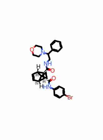 O=C(NCC(c1ccccc1)N1CCOCC1)[C@H]1[C@H](C(=O)Nc2ccc(Br)cc2)[C@@H]2C=C[C@H]1C21CC1